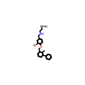 CC(=O)NCCNCc1ccc(OCc2cccc(-c3ccccc3)c2C)c(Br)c1